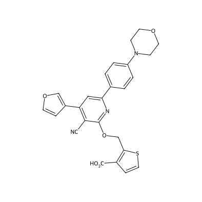 N#Cc1c(-c2ccoc2)cc(-c2ccc(N3CCOCC3)cc2)nc1OCc1sccc1C(=O)O